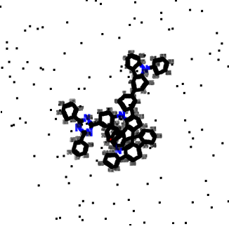 C1=CC2c3cc(-c4ccc5c(c4)c4ccc6c(c4n5-c4ccc(-c5nc(-c7ccccc7)nc(-c7ccccc7)n5)cc4)-c4ccccc4C64c5ccccc5-c5ccc6c7ccccc7n(-c7ccccc7)c6c54)ccc3N(c3ccccc3)C2C=C1